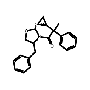 CC(C(=O)N1C(Cc2ccccc2)COC1C=O)(c1ccccc1)C1CC1